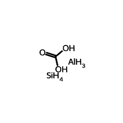 O=C(O)O.[AlH3].[SiH4]